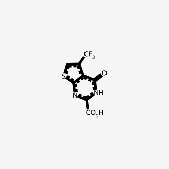 O=C(O)c1nc2scc(C(F)(F)F)c2c(=O)[nH]1